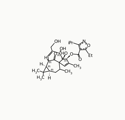 CCc1onc(C(C)C)c1C(=O)O[C@H]1C(C)=CC23C(=O)[C@@H](C=C(CO)[C@@H](O)[C@]12O)[C@H]1[C@@H](CC3C)C1(C)C